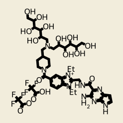 CCn1c(CNC(=O)c2nc3cc[nH]c3nc2N)[n+](CC)c2cc(C(=O)N3CCC(CN(CC(O)C(O)C(O)C(O)CO)CC(O)C(O)C(O)C(O)CO)CC3)ccc21.O=C(O)C(F)(F)F.O=C([O-])C(F)(F)F